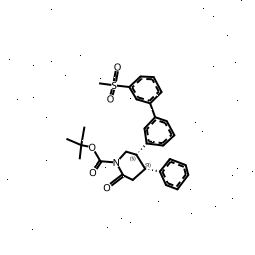 CC(C)(C)OC(=O)N1C[C@H](c2cccc(-c3cccc(S(C)(=O)=O)c3)c2)[C@H](c2ccccc2)CC1=O